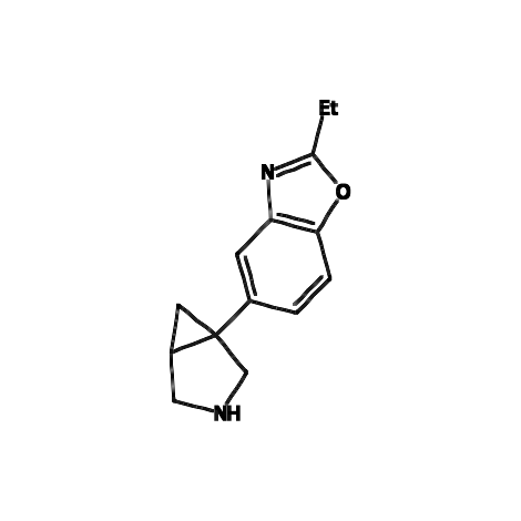 CCc1nc2cc(C34CNCC3C4)ccc2o1